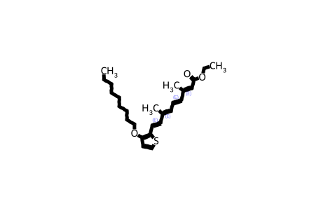 CCCCCCCCCOc1ccsc1/C=C/C(C)=C/C=C/C(C)=C/C(=O)OCC